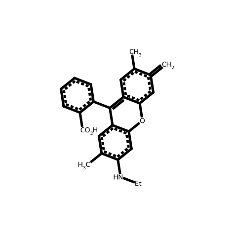 C=c1cc2c(cc1C)=C(c1ccccc1C(=O)O)c1cc(C)c(NCC)cc1O2